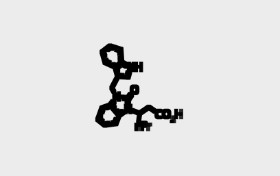 CCCC(CC(=O)O)n1c(=O)n(Cc2c[nH]c3ccccc23)c2ccccc21